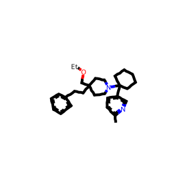 CCOCC1(CCc2ccccc2)CCN(C2(c3ccc(C)nc3)CCCCC2)CC1